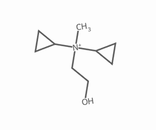 C[N+](CCO)(C1CC1)C1CC1